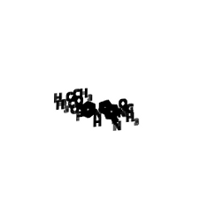 CC(=O)Nc1cc2c(cc1C#N)C(Nc1ccc(C(=O)OC(C)(C)C)c(F)c1)CC2